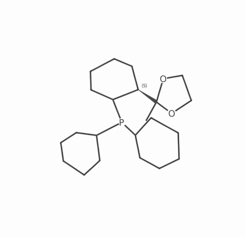 CC1([C@@H]2CCCCC2P(C2CCCCC2)C2CCCCC2)OCCO1